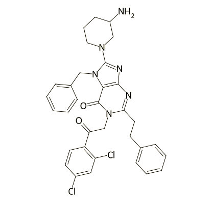 NC1CCCN(c2nc3nc(CCc4ccccc4)n(CC(=O)c4ccc(Cl)cc4Cl)c(=O)c3n2Cc2ccccc2)C1